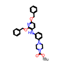 CC(C)(C)OC(=O)N1CCN(c2cccc(Nc3ccc(OCc4ccccc4)nc3OCc3ccccc3)c2)CC1